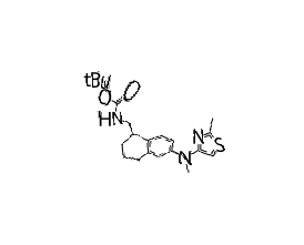 Cc1nc(N(C)c2ccc3c(c2)CCC[C@H]3CNC(=O)OC(C)(C)C)cs1